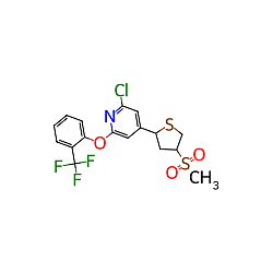 CS(=O)(=O)C1CSC(c2cc(Cl)nc(Oc3ccccc3C(F)(F)F)c2)C1